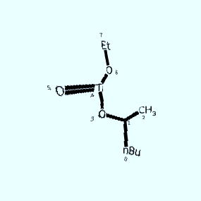 CCCCC(C)[O][Ti](=[O])[O]CC